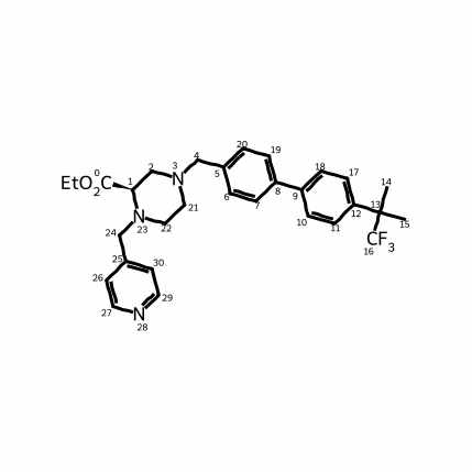 CCOC(=O)[C@H]1CN(Cc2ccc(-c3ccc(C(C)(C)C(F)(F)F)cc3)cc2)CCN1Cc1ccncc1